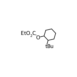 CCOC(=O)OC1CCCCC1C(C)(C)C